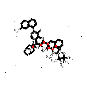 Cc1ccc2cccc(-c3ncc4c(N5CC6CCC(C5)N6C(=O)OC(C)(C)Cc5cc6cccc(B7OC(C)(C)C(C)(C)O7)c6cc5C)nc(OC[C@@H]5CCCN5C)nc4c3F)c2c1